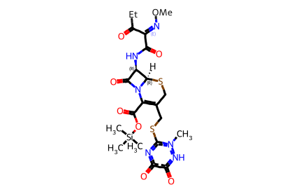 CCC(=O)/C(=N\OC)C(=O)N[C@@H]1C(=O)N2C(C(=O)O[Si](C)(C)C)=C(CSc3nc(=O)c(=O)[nH]n3C)CS[C@H]12